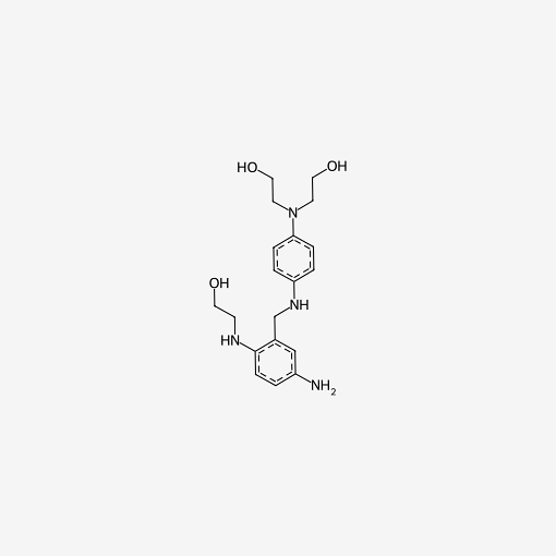 Nc1ccc(NCCO)c(CNc2ccc(N(CCO)CCO)cc2)c1